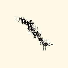 Cn1c(-c2cn(-c3ccc(N)cn3)nc2C(F)(F)F)cnc1C(=O)Nc1ccc(C(=O)NC2CC(NC(=O)[C@@H]3C[C@@H](O)CN3)C2)c(Cl)c1